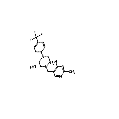 Cc1ncc(CN2CCN(c3ccc(C(F)(F)F)cc3)CC2)c(N)n1.Cl